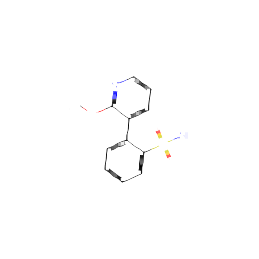 COc1ncccc1-c1ccccc1S(N)(=O)=O